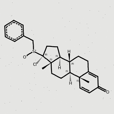 C[C@]12C=CC(=O)C=C1CC[C@@H]1[C@@H]2CC[C@@]2(C)[C@H]1CC[C@]2(Cl)[S+]([O-])Cc1ccccc1